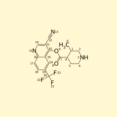 CC1CNCCC1C(=O)Oc1c(C#N)cnc2ccc(C(F)(F)F)cc12